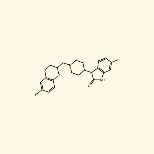 Cc1ccc2c(c1)[nH]c(=O)n2C1CCN(CC2COc3cc(F)ccc3O2)CC1